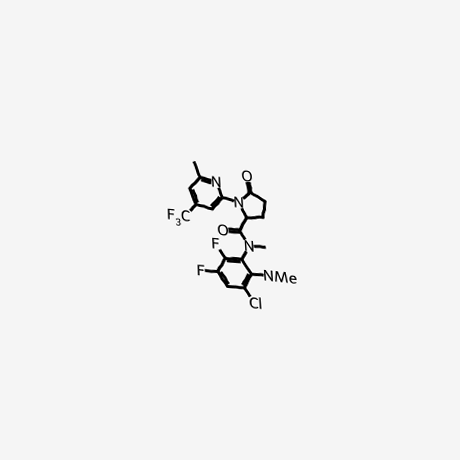 CNc1c(Cl)cc(F)c(F)c1N(C)C(=O)C1CCC(=O)N1c1cc(C(F)(F)F)cc(C)n1